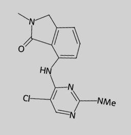 CNc1ncc(Cl)c(Nc2cccc3c2C(=O)N(C)C3)n1